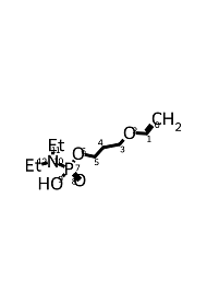 C=COCCCOP(=O)(O)N(CC)CC